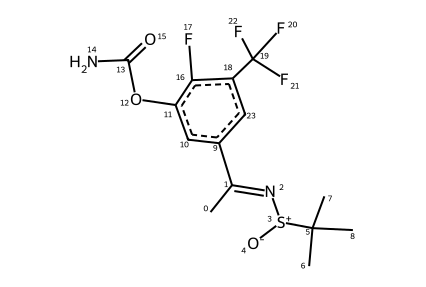 CC(=N[S+]([O-])C(C)(C)C)c1cc(OC(N)=O)c(F)c(C(F)(F)F)c1